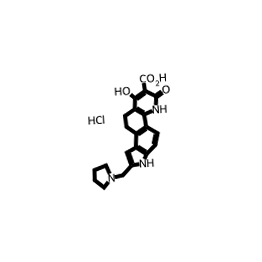 Cl.O=C(O)c1c(O)c2c([nH]c1=O)-c1ccc3[nH]c(CN4CCCC4)cc3c1CC2